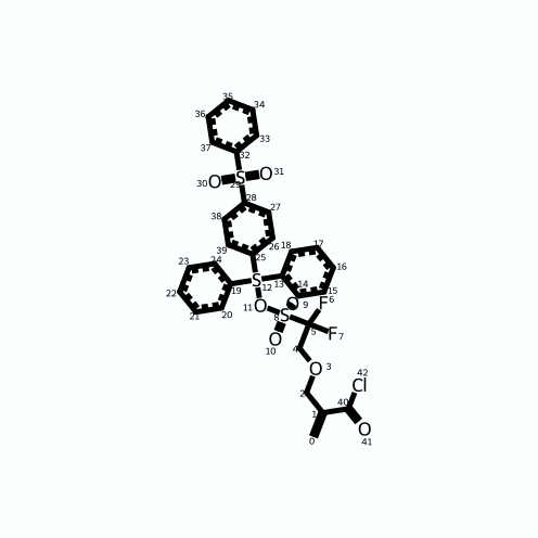 C=C(COCC(F)(F)S(=O)(=O)OS(c1ccccc1)(c1ccccc1)c1ccc(S(=O)(=O)c2ccccc2)cc1)C(=O)Cl